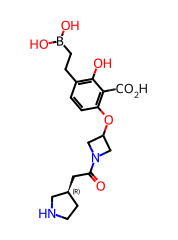 O=C(O)c1c(OC2CN(C(=O)C[C@H]3CCNC3)C2)ccc(CCB(O)O)c1O